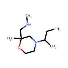 CCC(C)N1CCOC(C)(CNC)C1